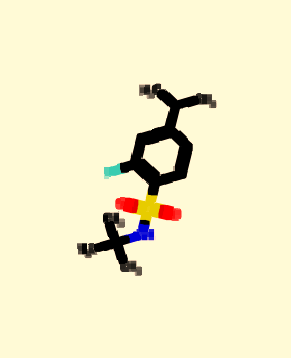 CC(C)c1ccc(S(=O)(=O)NC(C)(C)C)c(F)c1